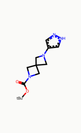 CC(C)(C)OC(=O)N1CC2(C1)CN(c1cn[nH]c1)C2